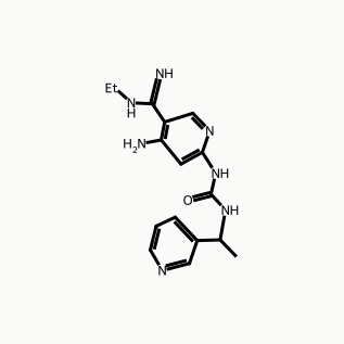 CCNC(=N)c1cnc(NC(=O)NC(C)c2cccnc2)cc1N